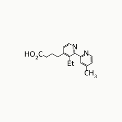 CCc1c(CCCC(=O)O)ccnc1-c1cc(C)ccn1